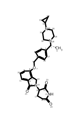 C[C@H](c1ccc(COc2cccc3c2CN(C2CCC(=O)NC2=O)C3=O)cc1)N1CCN(C2CC2)CC1